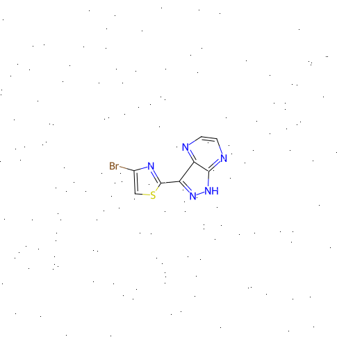 Brc1csc(-c2n[nH]c3nccnc23)n1